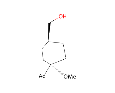 CO[C@]1(C(C)=O)CC[C@@H](CO)CC1